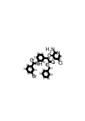 Nc1ncc(Cl)cc1OC(C(=O)OCc1ccccc1)c1cccc(NC(=O)c2cccc(Br)c2)c1